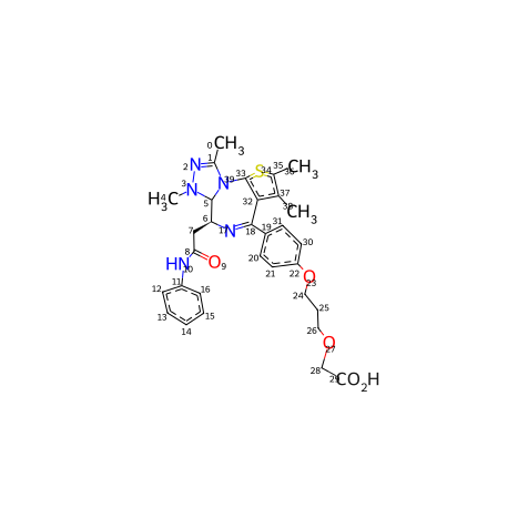 CC1=NN(C)C2[C@H](CC(=O)Nc3ccccc3)N=C(c3ccc(OCCCOCC(=O)O)cc3)c3c(sc(C)c3C)N12